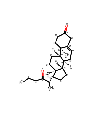 CC(C)CCC(=O)C(C)[C@H]1CC[C@H]2[C@@H]3CC=C4CC(=O)CC[C@]4(C)[C@H]3CC[C@]12C